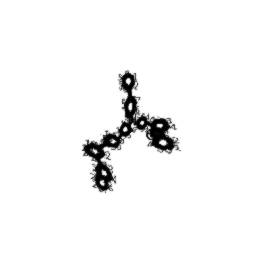 c1ccc(-c2ccc(N(c3ccc(-c4ccc(-c5cccc(-c6ccc7ccccc7c6)c5)cc4)cc3)c3ccc(-c4cccc5c4oc4ccccc45)cc3)cc2)cc1